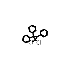 ClC1(Cl)C(c2ccccc2)C1(c1ccccc1)c1ccccc1